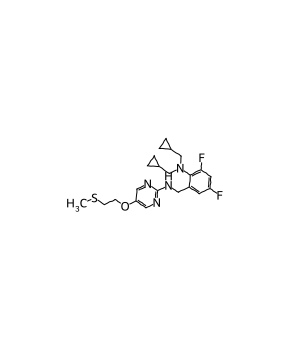 CSCCOc1cnc(NCc2cc(F)cc(F)c2N(CC2CC2)CC2CC2)nc1